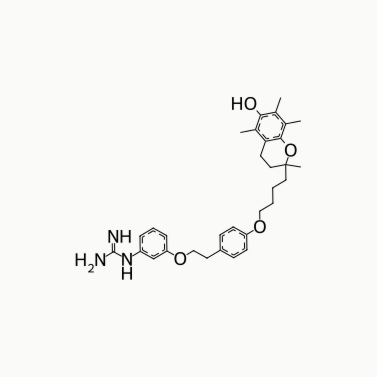 Cc1c(C)c2c(c(C)c1O)CCC(C)(CCCCOc1ccc(CCOc3cccc(NC(=N)N)c3)cc1)O2